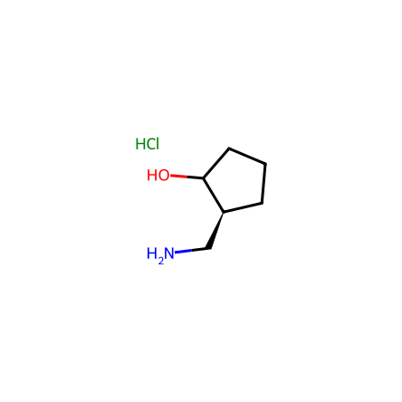 Cl.NC[C@@H]1CCCC1O